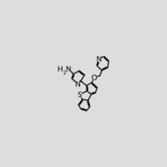 Nc1ccc(-c2c(OCc3cccnc3)ccc3c2sc2ccccc23)nc1